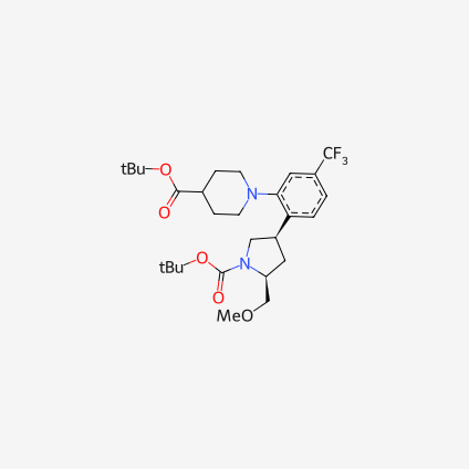 COC[C@@H]1C[C@H](c2ccc(C(F)(F)F)cc2N2CCC(C(=O)OC(C)(C)C)CC2)CN1C(=O)OC(C)(C)C